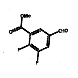 COC(=O)c1cc(C=O)cc(F)c1F